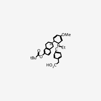 CCN(Cc1ccc(CC(=O)O)cc1)C1C=C(OC)C=CC1[C@@H]1CCc2cc(OC(=O)C(C)(C)C)ccc2C1